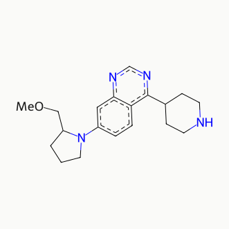 COCC1CCCN1c1ccc2c(C3CCNCC3)ncnc2c1